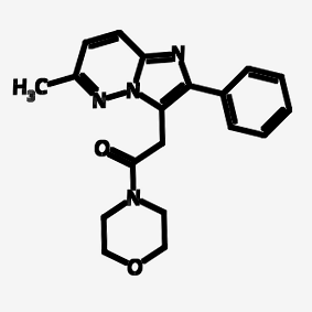 Cc1ccc2nc(-c3ccccc3)c(CC(=O)N3CCOCC3)n2n1